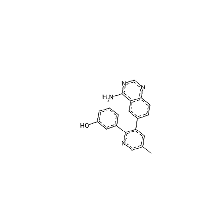 Cc1cnc(-c2cccc(O)c2)c(-c2ccc3ncnc(N)c3c2)c1